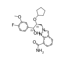 COc1cc([C@H](O)[C@H](Cn2cc3cccc(C(N)=O)c3n2)OC2CCCC2)ccc1F